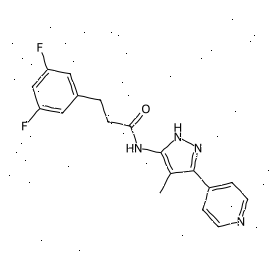 Cc1c(-c2ccncc2)n[nH]c1NC(=O)CCc1cc(F)cc(F)c1